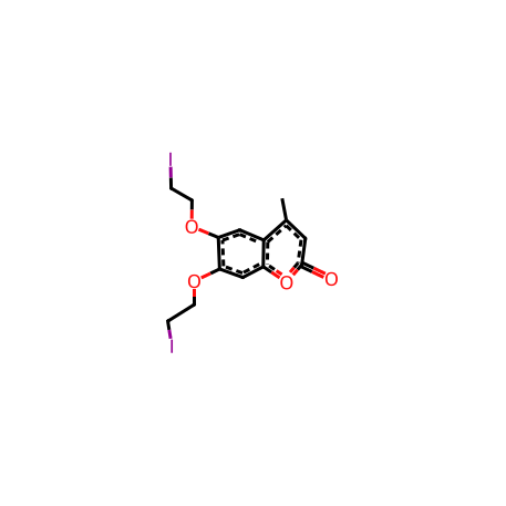 Cc1cc(=O)oc2cc(OCCI)c(OCCI)cc12